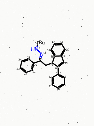 CC(C)(C)NN=C(CC1C(c2ccccc2)=Cc2ccccc21)c1ccccc1